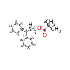 C=C(C)C(=O)OC[SiH2]C(c1ccccc1)c1ccccc1